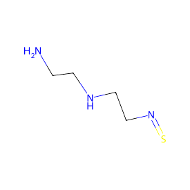 NCCNCCN=S